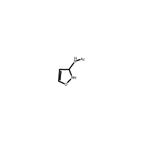 CC(=O)NC1C=CON1